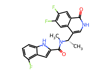 C[C@@H](c1c[nH]c(=O)c2cc(F)c(F)cc12)N(C)C(=O)c1cc2c(F)cccc2[nH]1